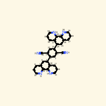 N#Cc1cc(-c2cc3cccnc3c3ncccc23)c(C#N)cc1-c1cc2cccnc2c2ncccc12